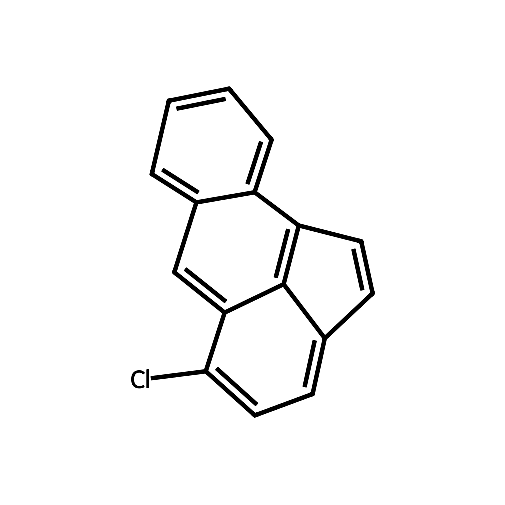 Clc1ccc2c3c(c4ccccc4cc13)C=C2